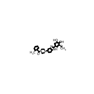 COc1cc(-c2nc3cc(N4CCN(C(=O)c5ccccc5C)CC4)ccc3[nH]2)cc(O)c1O